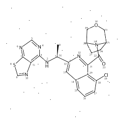 C[C@H](Nc1ncnc2scnc12)c1cc2cccc(Cl)c2c(C(=O)N2C3CCC2COC3)n1